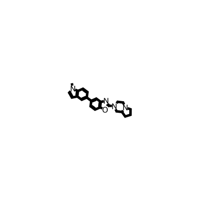 Cn1ccc2cc(-c3ccc4oc(N5CCN6CCCC6C5)nc4c3)ccc21